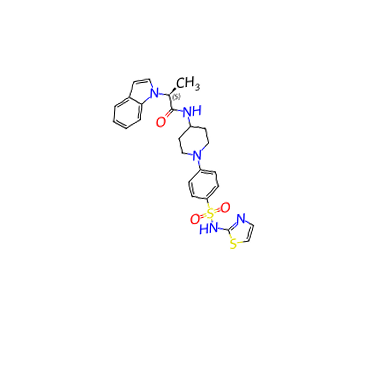 C[C@@H](C(=O)NC1CCN(c2ccc(S(=O)(=O)Nc3nccs3)cc2)CC1)n1ccc2ccccc21